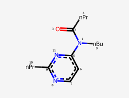 CCCCN(C(=O)CCC)c1ccnc(CCC)n1